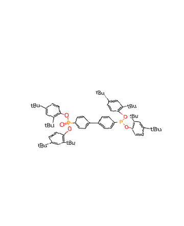 CC(C)(C)c1ccc(OP(Oc2ccc(C(C)(C)C)cc2C(C)(C)C)c2ccc(-c3ccc(P(=O)(Oc4ccc(C(C)(C)C)cc4C(C)(C)C)Oc4ccc(C(C)(C)C)cc4C(C)(C)C)cc3)cc2)c(C(C)(C)C)c1